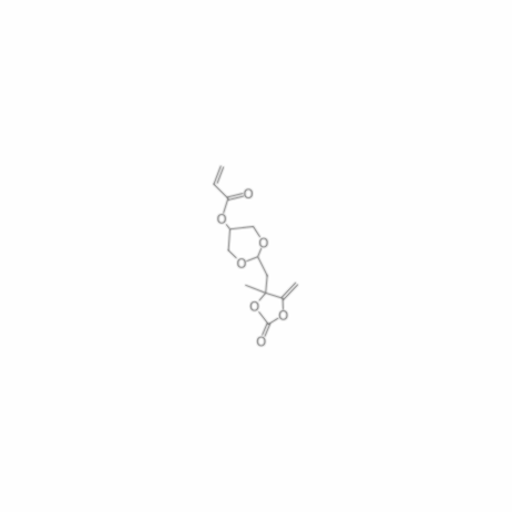 C=CC(=O)OC1COC(CC2(C)OC(=O)OC2=C)OC1